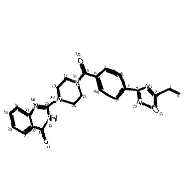 CCc1nc(-c2ccc(C(=O)N3CCN(c4nc5ccccc5c(=O)[nH]4)CC3)cc2)no1